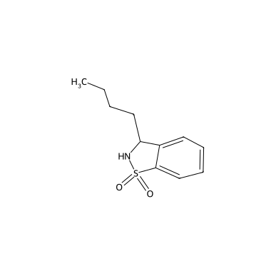 CCCCC1NS(=O)(=O)c2ccccc21